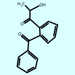 CC(O)C(=O)c1ccccc1C(=O)c1ccccc1